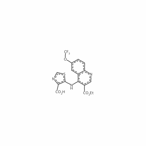 CCOC(=O)c1cnc2ccc(OC(F)(F)F)cc2c1Nc1scnc1C(=O)O